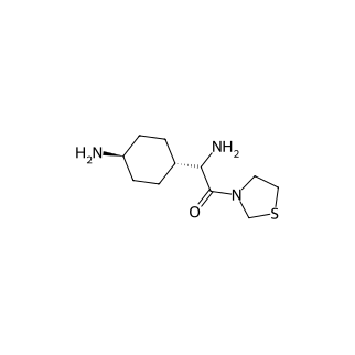 NC(C(=O)N1CCSC1)[C@H]1CC[C@H](N)CC1